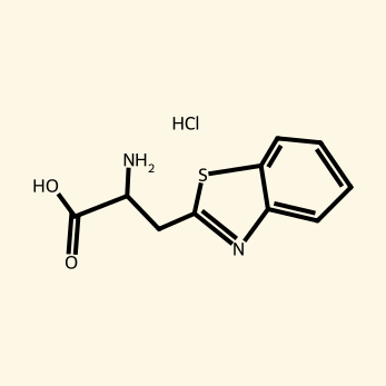 Cl.NC(Cc1nc2ccccc2s1)C(=O)O